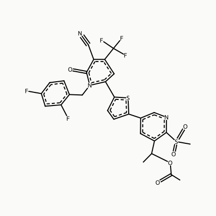 CC(=O)OC(C)c1cc(-c2ccc(-c3cc(C(F)(F)F)c(C#N)c(=O)n3Cc3ccc(F)cc3F)s2)cnc1S(C)(=O)=O